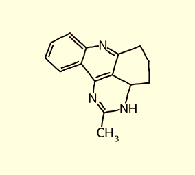 CC1=Nc2c3c(nc4ccccc24)CCCC3N1